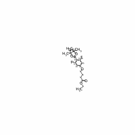 CCOC(=O)CCCOc1cc(F)c(B2OC(C)(C)C(C)(C)O2)c(F)c1